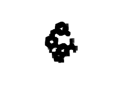 Cc1cc(CN2CC[C@@H](C)[C@H](c3cc(C(F)F)nc4ncnn34)C2)ccn1